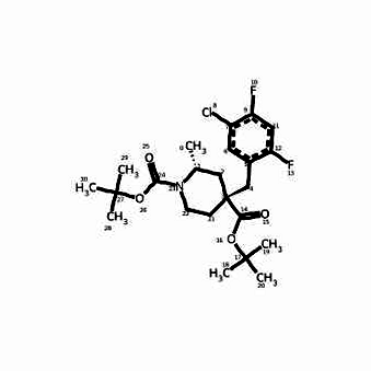 C[C@@H]1C[C@](Cc2cc(Cl)c(F)cc2F)(C(=O)OC(C)(C)C)CCN1C(=O)OC(C)(C)C